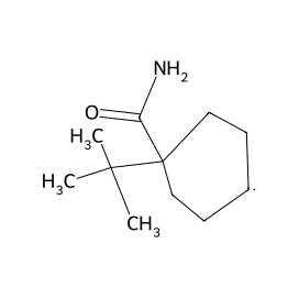 CC(C)(C)C1(C(N)=O)CC[CH]CC1